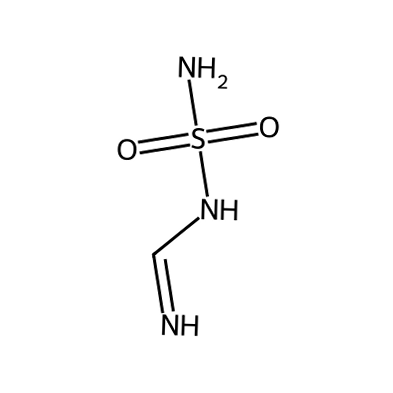 N=CNS(N)(=O)=O